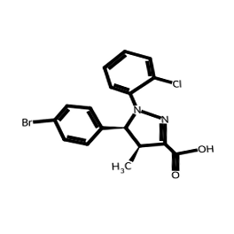 C[C@@H]1C(C(=O)O)=NN(c2ccccc2Cl)[C@@H]1c1ccc(Br)cc1